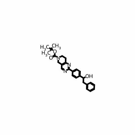 CC(C)(C)OC(=O)N1CCc2nc(-c3ccc(C(O)Cc4ccccc4)cc3)ncc2C1